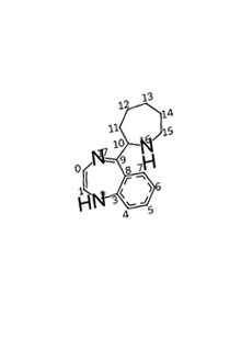 C1=CNc2ccccc2C(C2CCCCCN2)=N1